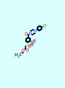 CCOC(=O)C[S+]([O-])c1ccc(C(=O)N2CCN(c3ccc(Cl)cc3)CC2)cc1[N+](=O)[O-]